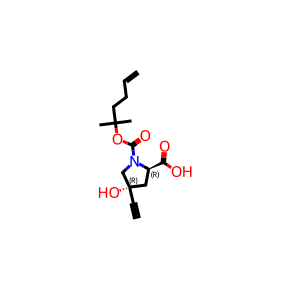 C#C[C@]1(O)C[C@H](C(=O)O)N(C(=O)OC(C)(C)CCC=C)C1